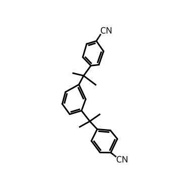 CC(C)(c1ccc(C#N)cc1)c1cccc(C(C)(C)c2ccc(C#N)cc2)c1